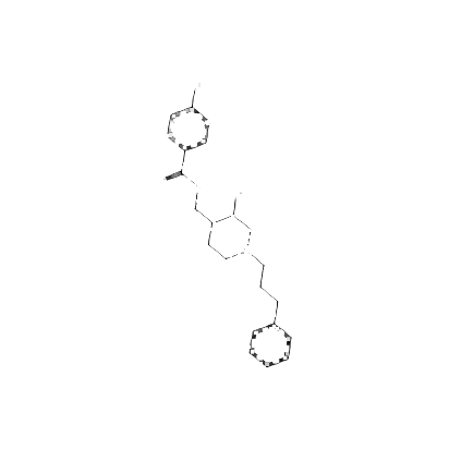 O=C(NCC1CCN(CCCc2ccccc2)CC1O)c1ccc(O)cc1